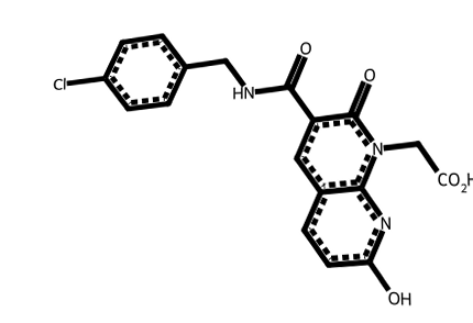 O=C(O)Cn1c(=O)c(C(=O)NCc2ccc(Cl)cc2)cc2ccc(O)nc21